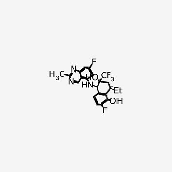 CC[C@H]1C[C@](O)(C(F)(F)F)C(Nc2cc(F)cc3nc(C)ncc23)c2ccc(F)c(O)c21